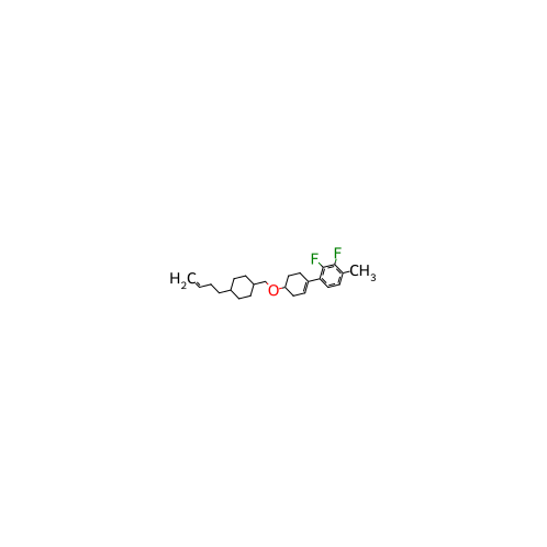 C=CCCC1CCC(COC2CC=C(c3ccc(C)c(F)c3F)CC2)CC1